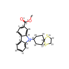 COC(=O)c1ccc2c3ccccc3n(C3CCC4(CC3)SCCS4)c2c1